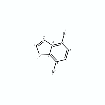 Brc1ccc(Br)c2scnc12